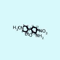 CCOc1c(C2=CCN(C)CC2)ccc([N+](=O)[O-])c1N